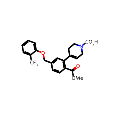 COC(=O)c1ccc(COc2ccccc2C(F)(F)F)cc1C1=CCN(C(=O)O)CC1